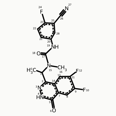 CC(c1n[nH]c(=O)c2cc(F)c(F)cc12)N(C)C(=O)Nc1ccc(F)c(C#N)c1